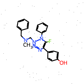 CN(Cc1ccccc1)CN1N=NC(c2ccc(O)cc2)=C(F)N1c1ccccc1